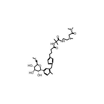 CS#CC1O[C@@H](c2ccc(C)c(Cc3ccc(CCCC(=O)NC(C)(C)C(=O)NCCN(C)CC(=O)N(C)C)cc3)c2)[C@H](O)[C@@H](O)[C@@H]1O